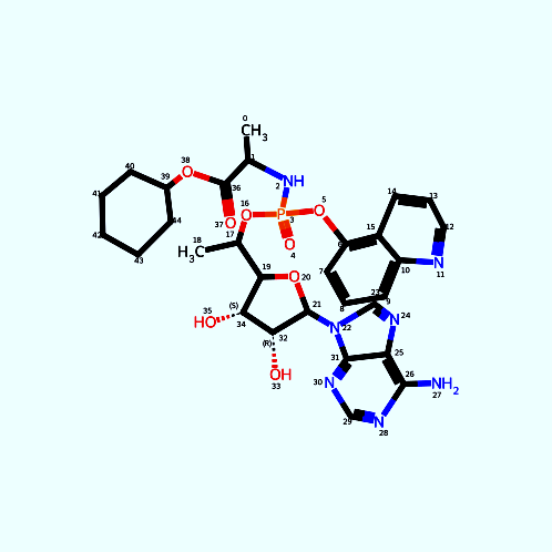 CC(NP(=O)(Oc1cccc2ncccc12)OC(C)C1OC(n2cnc3c(N)ncnc32)[C@H](O)[C@@H]1O)C(=O)OC1CCCCC1